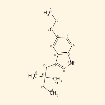 CCOc1ccc2[nH]cc(CC(C)(C)CC)c2c1